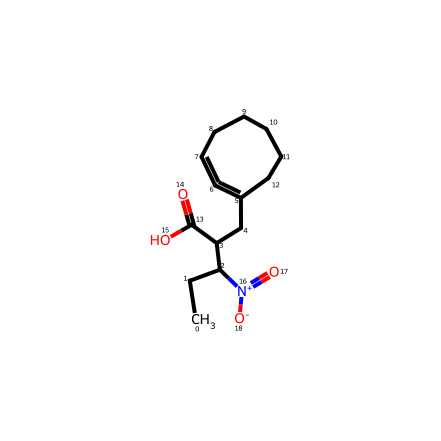 CCC(C(CC1=C=CCCCCC1)C(=O)O)[N+](=O)[O-]